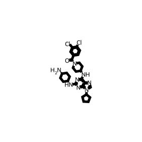 N[C@H]1CC[C@H](Nc2nc(NC3CCN(C(=O)c4ccc(Cl)c(Cl)c4)CC3)c3ncn(C4CCCC4)c3n2)CC1